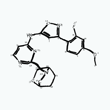 COc1ccc(-c2cc(Nc3ccnc(N4CC5CCC4CO5)n3)on2)c(F)c1